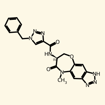 CN1C(=O)[C@@H](NC(=O)c2cn(Cc3ccccc3)nn2)COc2cc3[nH]nnc3cc21